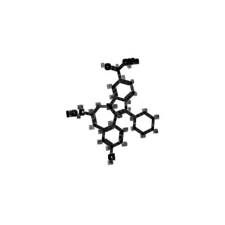 COC(=O)c1ccc2c(C3CCCCC3)c3n(c2c1)CC(C(=O)O)=Cc1cc(Cl)ccc1-3